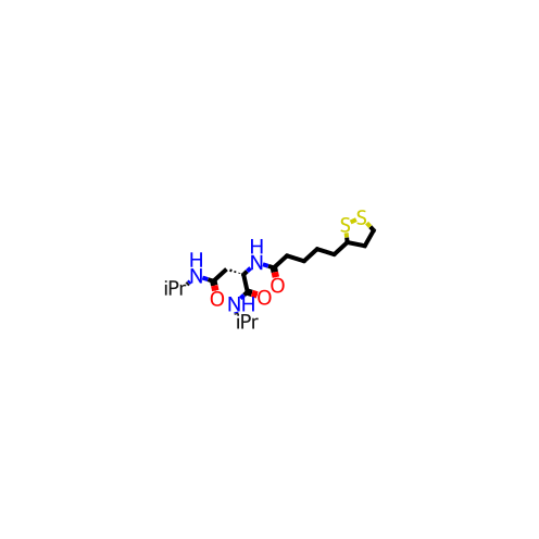 CC(C)NC(=O)C[C@H](NC(=O)CCCCC1CCSS1)C(=O)NC(C)C